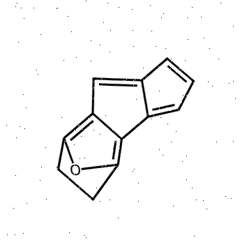 C1=CC2=Cc3c4oc(c3C2=C1)CC4